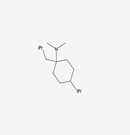 CC(C)CC1(N(C)C)CCC(C(C)C)CC1